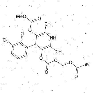 COC(=O)OC1=C(C)NC(C)=C(OC(=O)OCOC(=O)C(C)C)C1c1cccc(Cl)c1Cl